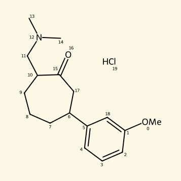 COc1cccc(C2CCCC(CN(C)C)C(=O)C2)c1.Cl